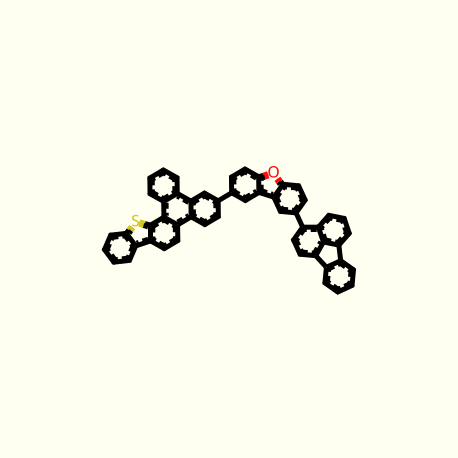 c1ccc2c(c1)-c1cccc3c(-c4ccc5oc6ccc(-c7ccc8c(c7)c7ccccc7c7c8ccc8c9ccccc9sc87)cc6c5c4)ccc-2c13